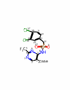 COc1cnc(C(F)(F)F)nc1NS(=O)(=O)Cc1ccc(Cl)c(Cl)c1